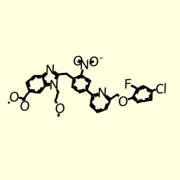 COCCn1c(Cc2ccc(-c3cccc(COc4ccc(Cl)cc4F)n3)cc2[N+](=O)[O-])nc2ccc(C(=O)OC)cc21